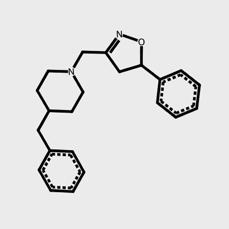 c1ccc(CC2CCN(CC3=NOC(c4ccccc4)C3)CC2)cc1